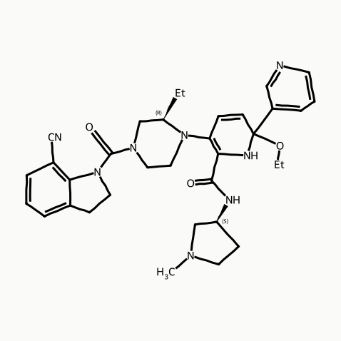 CCOC1(c2cccnc2)C=CC(N2CCN(C(=O)N3CCc4cccc(C#N)c43)C[C@H]2CC)=C(C(=O)N[C@H]2CCN(C)C2)N1